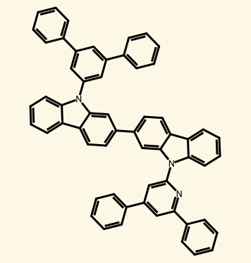 c1ccc(-c2cc(-c3ccccc3)cc(-n3c4ccccc4c4ccc(-c5ccc6c7ccccc7n(-c7cc(-c8ccccc8)cc(-c8ccccc8)n7)c6c5)cc43)c2)cc1